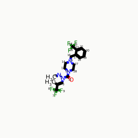 C=NN(/C=C(\C)C(F)(F)F)C(=O)N1CCN(Cc2ccccc2C(F)(F)F)CC1